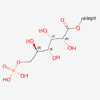 CCCCCCCOC(=O)[C@H](O)[C@@H](O)[C@H](O)[C@H](O)COP(=O)(O)O